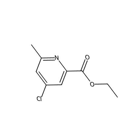 CCOC(=O)c1cc(Cl)cc(C)n1